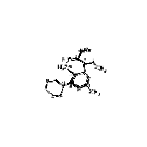 C=C(NC)/C(=C/C)c1cc(C)cc(C2CCCCC2)c1C